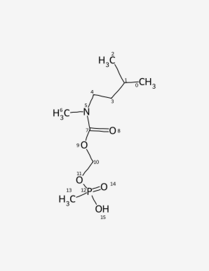 CC(C)CCN(C)C(=O)OCOP(C)(=O)O